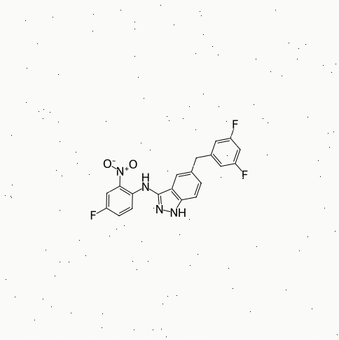 O=[N+]([O-])c1cc(F)ccc1Nc1n[nH]c2ccc(Cc3cc(F)cc(F)c3)cc12